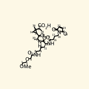 COCCOCC(=O)NCCCC[C@H](NC(=O)CCCN1C(=O)C=CC1=O)C(=O)N[C@@H](C)C(=O)C1CC1(C)[C@@H](C)C(=O)O